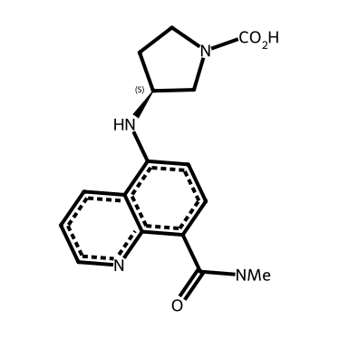 CNC(=O)c1ccc(N[C@H]2CCN(C(=O)O)C2)c2cccnc12